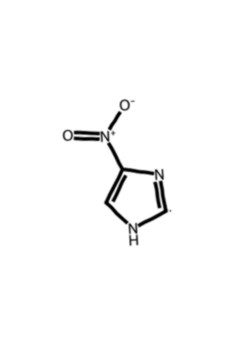 O=[N+]([O-])c1c[nH][c]n1